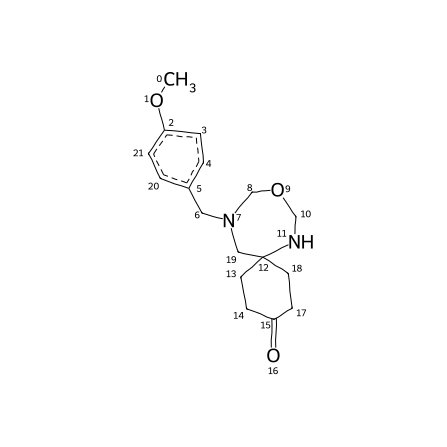 COc1ccc(CN2COCNC3(CCC(=O)CC3)C2)cc1